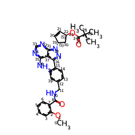 COc1ccccc1C(=O)NCc1ccc(-c2nn([C@@H]3C=C[C@@H](OC(=O)C(C)(C)C)C3)c3ncnc(N)c23)cc1